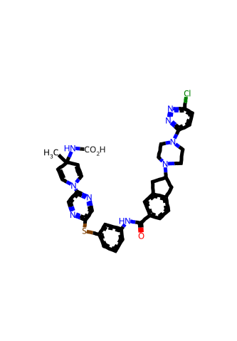 CC1(NC(=O)O)C=CN(c2cnc(Sc3cccc(NC(=O)c4ccc5c(c4)CC(N4CCN(c6ccc(Cl)nn6)CC4)C5)c3)cn2)C=C1